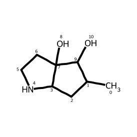 CC1CC2NCCC2(O)C1O